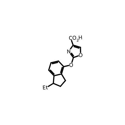 CCC1CCc2c(Oc3nc(C(=O)O)co3)cccc21